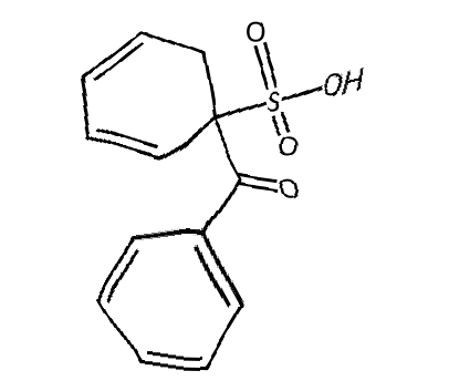 O=C(c1ccccc1)C1(S(=O)(=O)O)C=CC=CC1